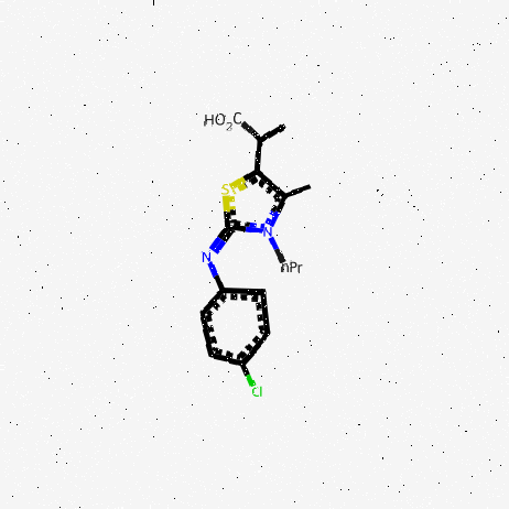 CCCn1c(C)c(C(C)C(=O)O)sc1=Nc1ccc(Cl)cc1